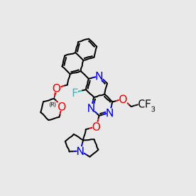 Fc1c(-c2c(CO[C@@H]3CCCCO3)ccc3ccccc23)ncc2c(OCC(F)(F)F)nc(OCC34CCCN3CCC4)nc12